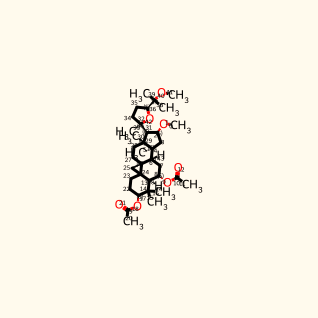 CO[C@H]1C[C@@]2(C)[C@@H]3C[C@H](OC(C)=O)[C@H]4C(C)(C)[C@@H](OC(C)=O)CCC45C[C@@]35CC[C@]2(C)[C@H]1[C@@]1(C)CC[C@@H](C(C)(C)OC)O1